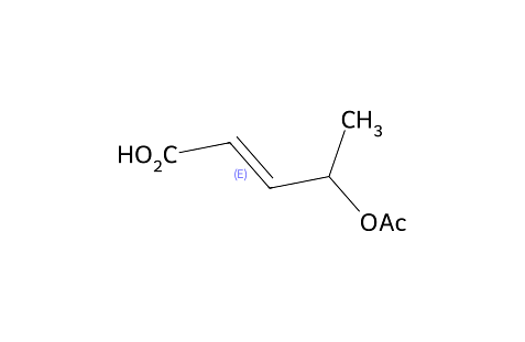 CC(=O)OC(C)/C=C/C(=O)O